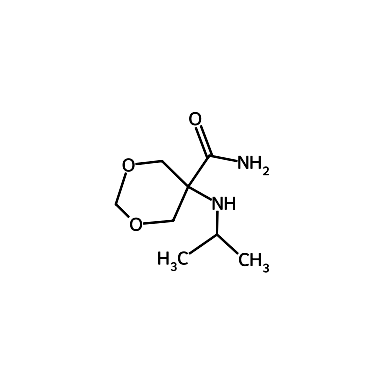 CC(C)NC1(C(N)=O)COCOC1